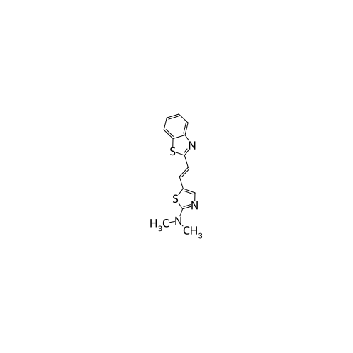 CN(C)c1ncc(/C=C/c2nc3ccccc3s2)s1